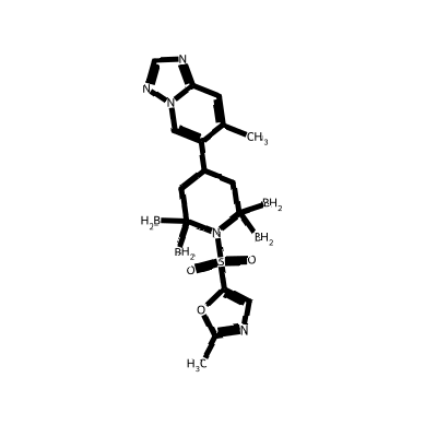 BC1(B)CC(c2cn3ncnc3cc2C)CC(B)(B)N1S(=O)(=O)c1cnc(C)o1